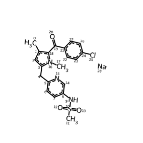 Cc1cc(Cc2ccc(NS(C)(=O)=O)cn2)n(C)c1C(=O)c1ccc(Cl)cc1.[Na]